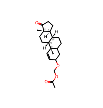 CC(=O)OCOC1C=C[C@@]2(C)C(CC[C@@H]3[C@H]2CC[C@]2(C)C(=O)CC[C@@H]32)C1